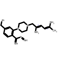 C/C(N)=C/C=C(\N)CN1CCN(c2cc(CC(C)C)ccc2C(=N)N=N)CC1